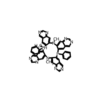 CN1c2cc3ncncc3cc2P(c2ccccc2)c2cc3cncnc3cc2N(C)c2cc3ncncc3cc2[PH](C)(c2ccccc2)c2cc3cncnc3cc21